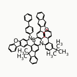 CC(C)(C)c1ccc(N2c3cc4oc5cc6ccccc6cc5c4cc3B3c4c2cc2c(c4-c4cc5c(cc4N3c3ccc(-c4ccccc4)cc3)oc3ccccc35)C(C)(C)c3ccccc3-2)c(-c2ccccc2)c1